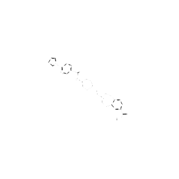 CC(C)C(=O)c1ccc2c(c1)CCN(CC[C@H]1CC[C@H](NC(=O)c3ccc(-n4cccc4)nc3)CC1)CC2